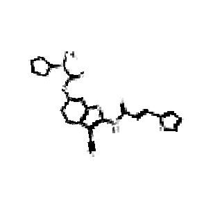 CN(C(=O)OC1CCc2c(sc(NC(=O)C=Cc3ccco3)c2C#N)C1)C1CCCC1